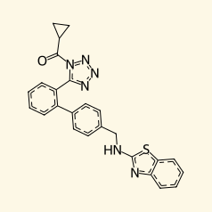 O=C(C1CC1)n1nnnc1-c1ccccc1-c1ccc(CNc2nc3ccccc3s2)cc1